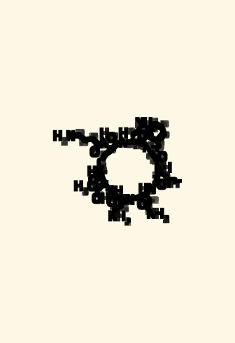 CC(C)C[C@@H]1NC(=O)[C@@H](Cc2ccccc2)NC(=O)[C@H](CCN)NC(=O)[C@@H](NC(=O)CCCN)CCNC(=O)[C@H]([C@@H](C)O)NC(=O)[C@H](CCN)NC(=O)[C@H](CCN)NC1=O